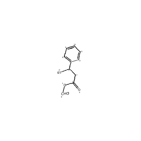 CCC(CC(=O)OC=O)c1ccccc1